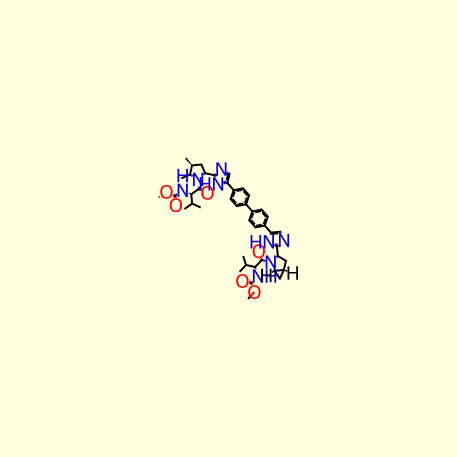 COC(=O)N[C@H](C(=O)N1C(c2ncc(-c3ccc(-c4ccc(-c5cnc(C6C[C@@H]7C[C@@H]7N6C(=O)[C@@H](NC(=O)OC)C(C)C)[nH]5)cc4)cc3)[nH]2)C[C@H](C)C1C)C(C)C